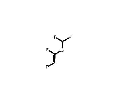 FC=C(F)OC(F)F